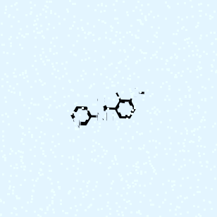 COc1cccc(C(=O)Nc2cccnc2)c1C